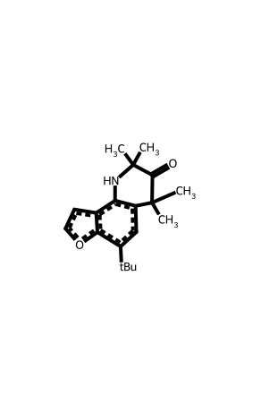 CC1(C)Nc2c(cc(C(C)(C)C)c3occc23)C(C)(C)C1=O